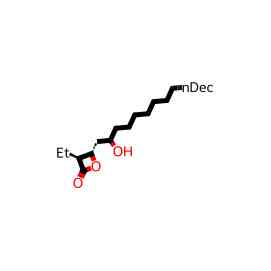 CCCCCCCCCCCCCCCCCC(O)C[C@@H]1OC(=O)[C@H]1CC